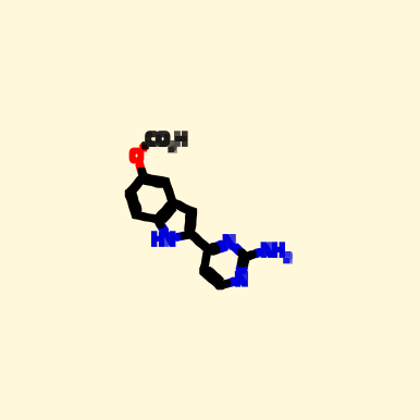 Nc1nccc(-c2cc3cc(OC(=O)O)ccc3[nH]2)n1